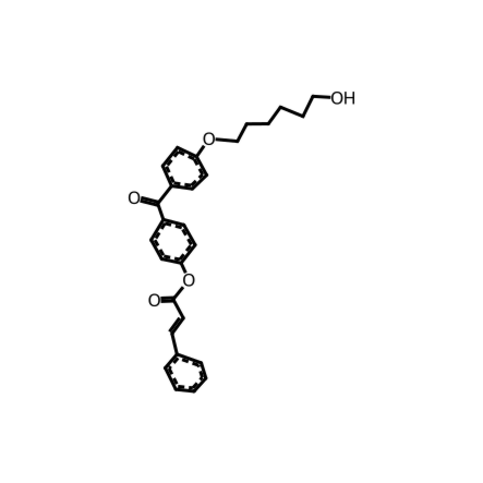 O=C(C=Cc1ccccc1)Oc1ccc(C(=O)c2ccc(OCCCCCCO)cc2)cc1